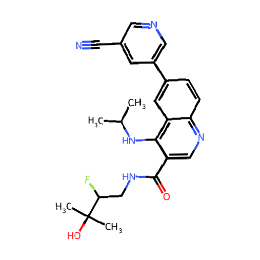 CC(C)Nc1c(C(=O)NCC(F)C(C)(C)O)cnc2ccc(-c3cncc(C#N)c3)cc12